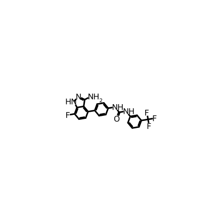 Nc1n[nH]c2c(F)ccc(-c3ccc(NC(=O)Nc4cccc(C(F)(F)F)c4)cc3)c12